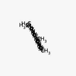 CCN(CC)c1ccc(N=Nc2ccc(C=Nc3ccc(N=Nc4ccc(C)cc4)cc3C)cc2)cc1